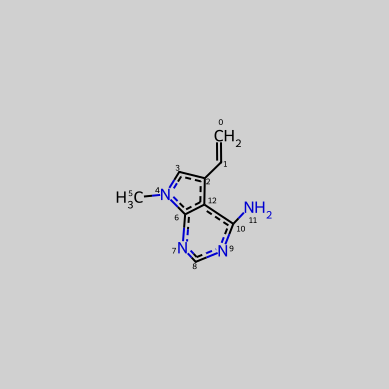 C=Cc1cn(C)c2ncnc(N)c12